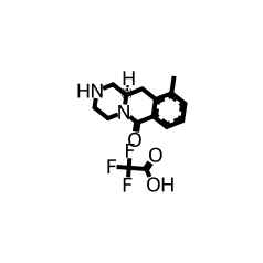 Cc1cccc2c1C[C@@H]1CNCCN1C2=O.O=C(O)C(F)(F)F